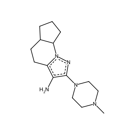 CN1CCN(c2nn3c(c2N)CCC2CCCC23)CC1